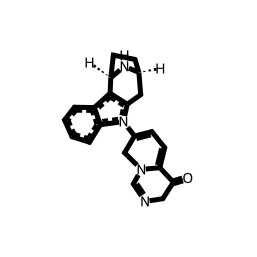 O=C1CN=CN2CC(n3c4c(c5ccccc53)[C@H]3CC[C@@H](C4)N3)=CC=C12